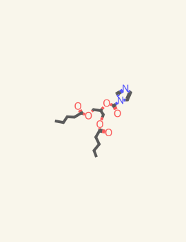 CCCCC(=O)OCC(COC(=O)CCCC)OC(=O)n1ccnc1